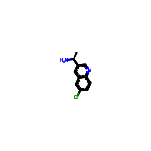 C[C@H](N)c1cnc2ccc(Cl)cc2c1